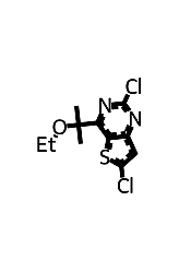 CCOC(C)(C)c1nc(Cl)nc2cc(Cl)sc12